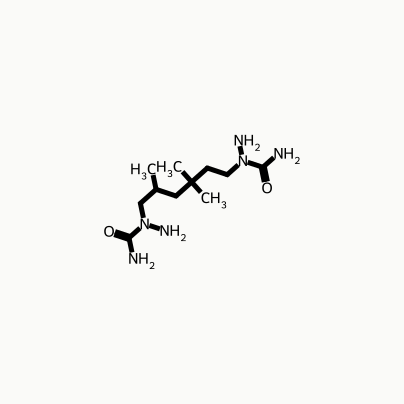 CC(CN(N)C(N)=O)CC(C)(C)CCN(N)C(N)=O